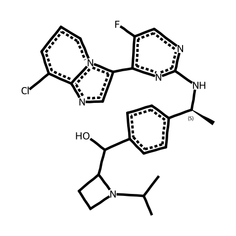 CC(C)N1CCC1C(O)c1ccc([C@H](C)Nc2ncc(F)c(-c3cnc4c(Cl)cccn34)n2)cc1